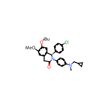 CCC(C)Oc1cc2c(cc1OC)CC(=O)N(c1ccc(N(C)CC3CC3)cc1)[C@@H]2c1ccc(Cl)cc1